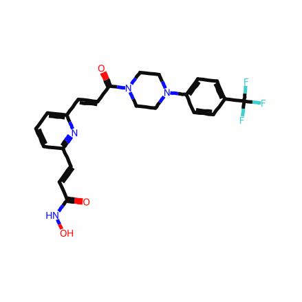 O=C(C=Cc1cccc(C=CC(=O)N2CCN(c3ccc(C(F)(F)F)cc3)CC2)n1)NO